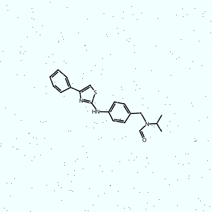 CC(C)N(C=O)Cc1ccc(Nc2nc(-c3ccccc3)cs2)cc1